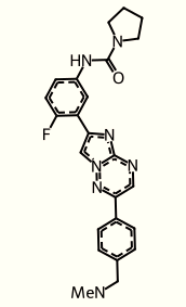 CNCc1ccc(-c2cnc3nc(-c4cc(NC(=O)N5CCCC5)ccc4F)cn3n2)cc1